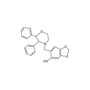 Oc1cc2c(cc1CN1CCOC(c3ccccc3)C1c1ccccc1)OCO2